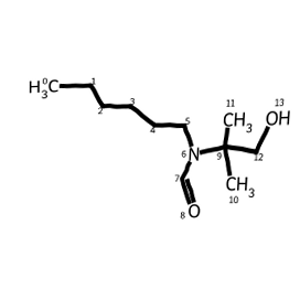 CCCCCCN(C=O)C(C)(C)CO